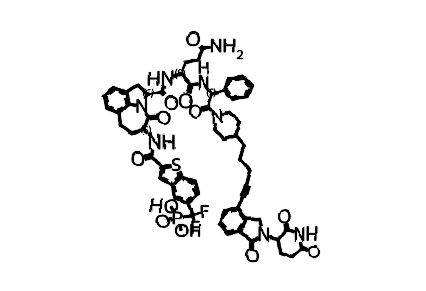 NC(=O)CC[C@H](NC(=O)[C@@H]1Cc2cccc3c2N1C(=O)[C@@H](NC(=O)c1cc2cc(C(F)(F)P(=O)(O)O)ccc2s1)CC3)C(=O)N[C@H](C(=O)N1CCC(CCCC#Cc2cccc3c2CN(C2CCC(=O)NC2=O)C3=O)CC1)c1ccccc1